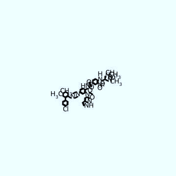 CN1CC(CNc2ccc(S(=O)(=O)NC(=O)c3ccc(N4CCN(CC5=C(c6ccc(Cl)cc6)CC(C)(C)CC5)CC4)cc3N3CCOc4nc5[nH]ccc5cc43)cc2[N+](=O)[O-])CN(C)P1(C)=O